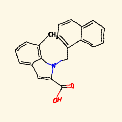 Cc1cccc2cc(C(=O)O)n(Cc3cccc4ccccc34)c12